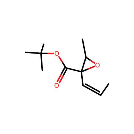 C/C=C\C1(C(=O)OC(C)(C)C)OC1C